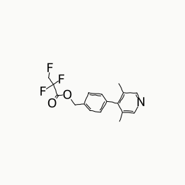 Cc1cncc(C)c1-c1ccc(COC(=O)C(F)(F)CF)cc1